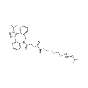 CC(C)OPOCCCCCCNC(=O)CCC(=O)N1Cc2ccccc2-c2c(nnn2C(C)C)-c2ccccc21